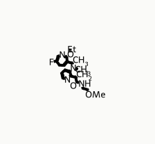 C=C(C(=O)NCCOC)c1ncccc1N(C)C(C)C1=CCC(F)=CN=C1OCC